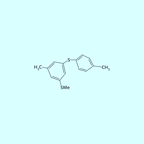 CSc1cc(C)cc(Sc2ccc(C)cc2)c1